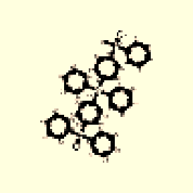 CP(=O)(c1ccccc1)c1ccc([Si](c2ccccc2)(c2ccccc2)c2ccc(P(=O)(c3ccccc3)c3ccccc3)cc2)cc1